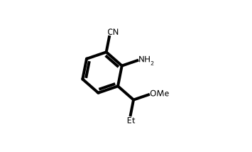 CCC(OC)c1cccc(C#N)c1N